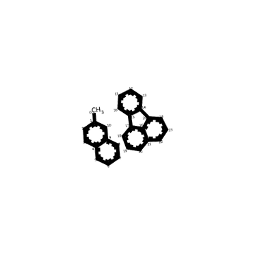 Cc1ccc2ccccc2c1.c1ccc2c(c1)-c1cccc3cccc-2c13